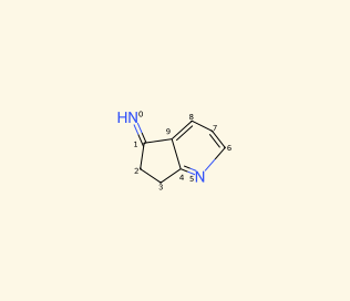 N=C1CCc2ncccc21